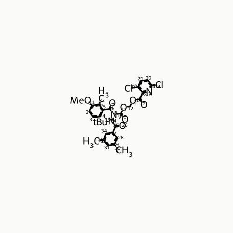 COc1cccc(C(=O)N(C(=O)OCOC(=O)c2nc(Cl)ccc2Cl)N(C(=O)c2cc(C)cc(C)c2)C(C)(C)C)c1C